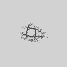 C=CC1=C(C)c2cc3[nH]c(cc4nc(cc5[nH]c(cc1n2)c(C)c5CCC(=O)OC)C(CCC(=O)OC)=C4C)c(C)c3C=C.Cl.[GaH3]